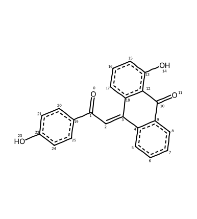 O=C(C=C1c2ccccc2C(=O)c2c(O)cccc21)c1ccc(O)cc1